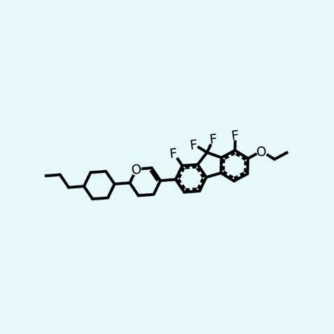 CCCC1CCC(C2CCC(c3ccc4c(c3F)C(F)(F)c3c-4ccc(OCC)c3F)=CO2)CC1